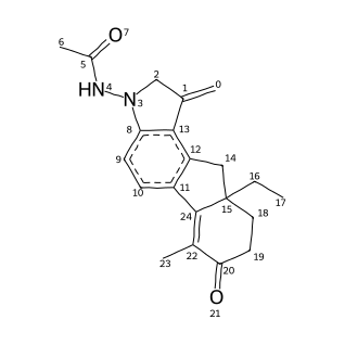 C=C1CN(NC(C)=O)c2ccc3c(c21)CC1(CC)CCC(=O)C(C)=C31